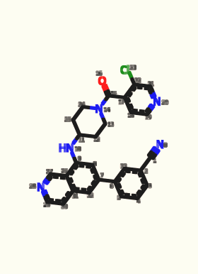 N#Cc1cccc(-c2cc(NC3CCN(C(=O)c4ccncc4Cl)CC3)c3cnccc3c2)c1